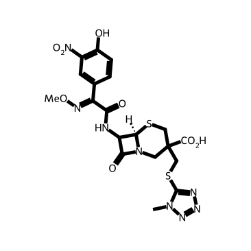 CON=C(C(=O)NC1C(=O)N2CC(CSc3nnnn3C)(C(=O)O)CS[C@H]12)c1ccc(O)c([N+](=O)[O-])c1